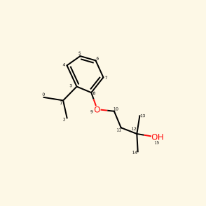 CC(C)c1ccccc1OCCC(C)(C)O